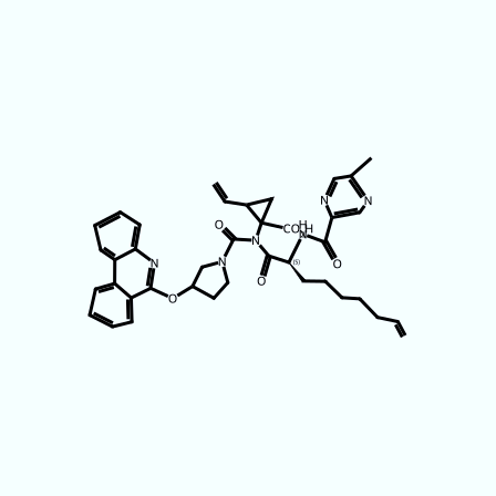 C=CCCCCC[C@H](NC(=O)c1cnc(C)cn1)C(=O)N(C(=O)N1CCC(Oc2nc3ccccc3c3ccccc23)C1)C1(C(=O)O)CC1C=C